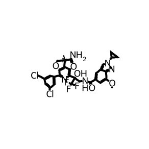 COc1cc(C(=O)NCC(O)(c2cc3c(c(-c4cc(Cl)cc(Cl)c4)n2)OC[C@]3(C)C(N)=O)C(F)(F)F)cc2cn(C3CC3)nc12